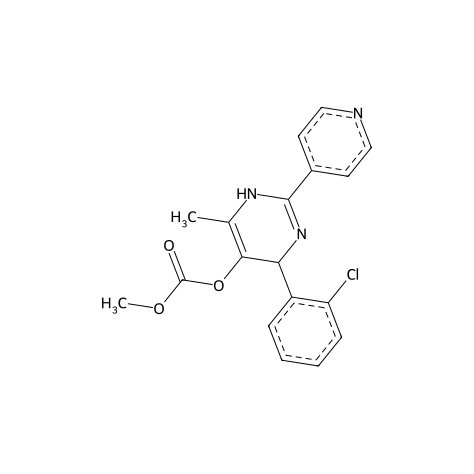 COC(=O)OC1=C(C)NC(c2ccncc2)=NC1c1ccccc1Cl